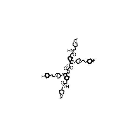 CCN1CCC(CNC(=O)Cc2ccc3c(OC(=O)C(=O)Oc4cn(C5CCN(CCc6ccc(F)cc6)CC5)c5cc(CC(=O)NCC6CCN(CC)CC6)ccc45)cn(C4CCN(CCc5ccc(F)cc5)CC4)c3c2)CC1